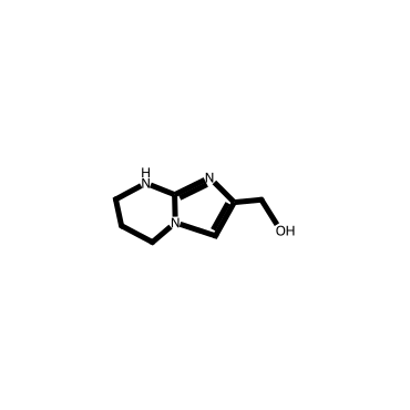 OCc1cn2c(n1)NCCC2